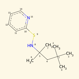 CC(C)(C)CC(C)(C)NSc1ccccn1